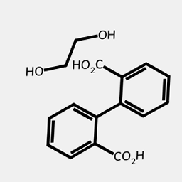 O=C(O)c1ccccc1-c1ccccc1C(=O)O.OCCO